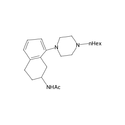 CCCCCCN1CCN(c2cccc3c2CC(NC(C)=O)CC3)CC1